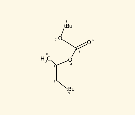 CC(CC(C)(C)C)OC(=O)OC(C)(C)C